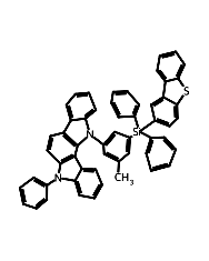 Cc1cc(-n2c3ccccc3c3ccc4c(c5ccccc5n4-c4ccccc4)c32)cc([Si](c2ccccc2)(c2ccccc2)c2ccc3sc4ccccc4c3c2)c1